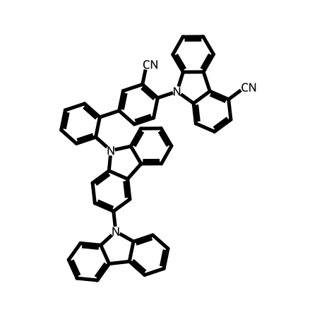 N#Cc1cc(-c2ccccc2-n2c3ccccc3c3cc(-n4c5ccccc5c5ccccc54)ccc32)ccc1-n1c2ccccc2c2c(C#N)cccc21